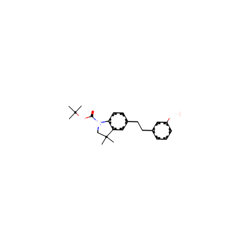 CC(C)(C)OC(=O)N1CC(C)(C)c2cc(CCc3cccc(O)c3)ccc21